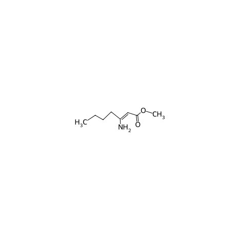 CCCCC(N)=CC(=O)OC